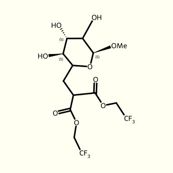 CO[C@H]1OC(CC(C(=O)OCC(F)(F)F)C(=O)OCC(F)(F)F)[C@@H](O)[C@H](O)C1O